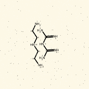 N=C(N)NC(=N)N.NCCNCCN